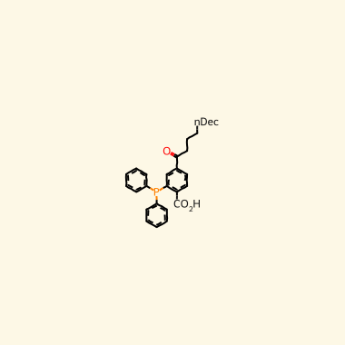 CCCCCCCCCCCCCC(=O)c1ccc(C(=O)O)c(P(c2ccccc2)c2ccccc2)c1